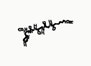 CCCCCCCCCCCCCCCC(=O)NCC(=O)NCC(=O)NCC(=O)N[C@@H](Cc1c[nH]cn1)C(=O)O